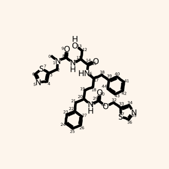 CN(Cc1cncs1)C(=O)NC(CO)C(=O)NC(CCC(Cc1ccccc1)NC(=O)OCc1cncs1)Cc1ccccc1